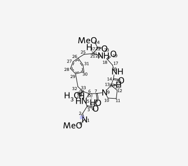 CO/N=C/C(=O)N[C@@H]1C(=O)N2CCC[C@H]2C(=O)NCC(=O)N[C@H](C(=O)OC)Cc2ccc(cc2)C[C@@H]1C